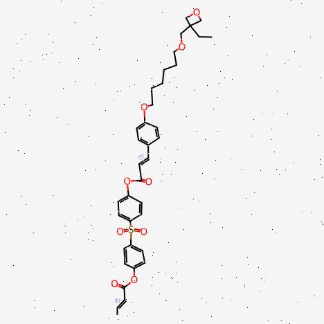 C/C=C/C(=O)Oc1ccc(S(=O)(=O)c2ccc(OC(=O)/C=C/c3ccc(OCCCCCCOCC4(CC)COC4)cc3)cc2)cc1